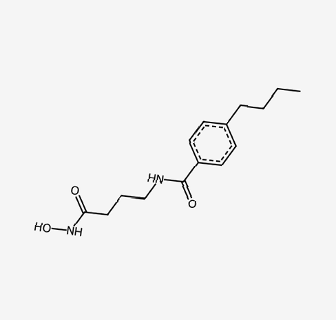 CCCCc1ccc(C(=O)NCCCC(=O)NO)cc1